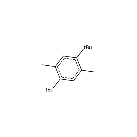 Cc1cc(C(C)(C)C)c(C)cc1C(C)(C)C